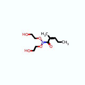 CCC=C(C)C(=O)N(OCCO)OCCO